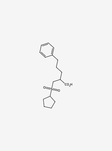 O=C(O)C(CCCc1ccccc1)CS(=O)(=O)C1CCCC1